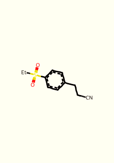 CCS(=O)(=O)c1ccc(CCC#N)cc1